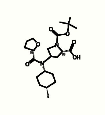 CC(C)(C)OC(=O)N1CC(N(C(=O)[C@@H]2CCCO2)[C@H]2CC[C@@H](C)CC2)C[C@H]1C(=O)O